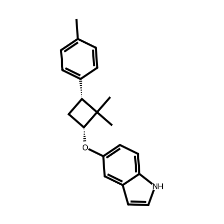 Cc1ccc([C@H]2C[C@@H](Oc3ccc4[nH]ccc4c3)C2(C)C)cc1